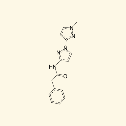 Cn1ccc(-n2ccc(NC(=O)Cc3ccccc3)n2)n1